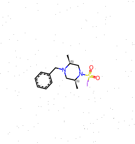 C[C@H]1CN(S(=O)(=O)I)[C@@H](C)CN1Cc1ccccc1